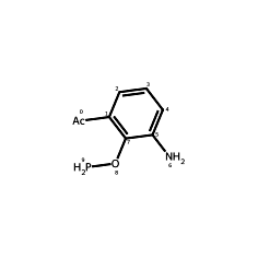 CC(=O)c1cccc(N)c1OP